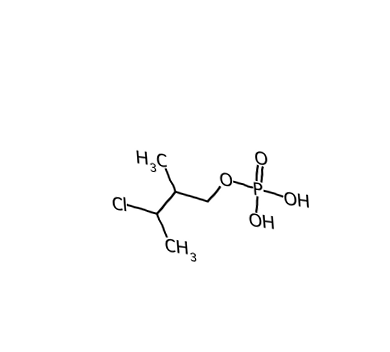 CC(Cl)C(C)COP(=O)(O)O